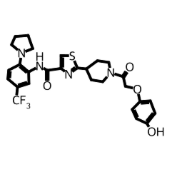 O=C(Nc1cc(C(F)(F)F)ccc1N1CCCC1)c1csc(C2CCN(C(=O)COc3ccc(O)cc3)CC2)n1